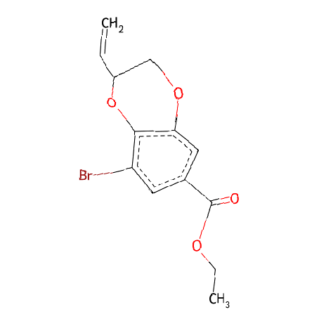 C=CC1COc2cc(C(=O)OCC)cc(Br)c2O1